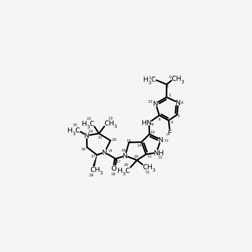 CC(C)c1ncc(F)c(Nc2n[nH]c3c2CN(C(=O)N2CC(C)(C)N(C)C[C@@H]2C)C3(C)C)n1